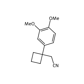 COc1ccc(C2(CC#N)CCC2)cc1OC